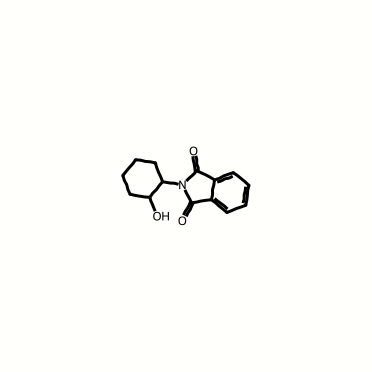 O=C1c2ccccc2C(=O)N1C1CCCCC1O